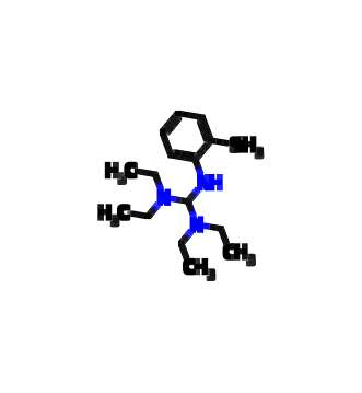 CCN(CC)C(Nc1ccccc1[SiH3])N(CC)CC